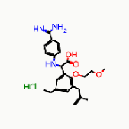 C=C(C)Cc1cc(CC)cc(C(Nc2ccc(C(=N)N)cc2)C(=O)O)c1OCCOC.Cl